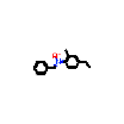 CCc1ccc([N+]([O-])=Cc2ccccc2)c(C)c1